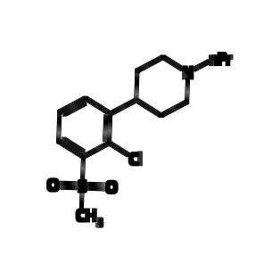 CCCN1CCC(c2cccc(S(C)(=O)=O)c2Cl)CC1